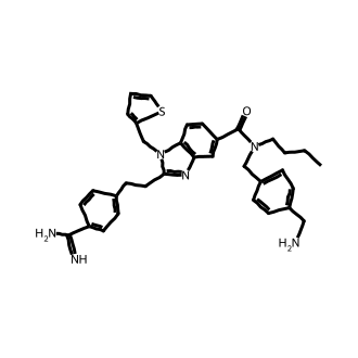 CCCCN(Cc1ccc(CN)cc1)C(=O)c1ccc2c(c1)nc(CCc1ccc(C(=N)N)cc1)n2Cc1cccs1